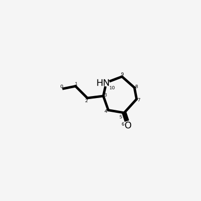 CCCC1CC(=O)CCCN1